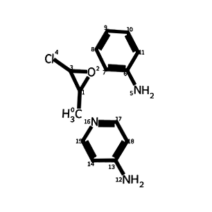 CC1OC1Cl.Nc1ccccc1.Nc1ccncc1